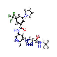 Cc1ncc(NC(=O)c2cc(N3CCCC3)cc(C(F)(F)F)c2)cc1-n1cc(C(=O)NCC(C)(C)C)nn1